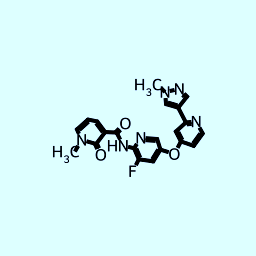 Cn1cc(-c2cc(Oc3cnc(NC(=O)c4cccn(C)c4=O)c(F)c3)ccn2)cn1